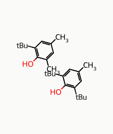 Cc1cc(C(C)(C)C)c(O)c(C(C)(C)C)c1.Cc1cc(C)c(O)c(C(C)(C)C)c1